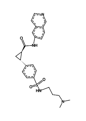 CN(C)CCCNS(=O)(=O)c1ccc([C@@H]2C[C@H]2C(=O)Nc2ccc3cnccc3c2)cc1